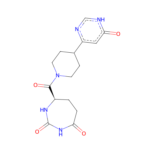 O=C1CC[C@H](C(=O)N2CCC(c3cc(=O)[nH]cn3)CC2)NC(=O)N1